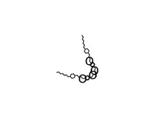 CCCCCCCC1CCC(CCCOc2ccc(COCC(C)OCc3ccc(OCCCC4CCC(CCCCCCC)CC4)cc3)cc2)CC1